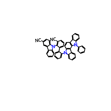 N#Cc1ccc2c(c1)c1ccccc1n2-c1c(C#N)cccc1-c1ccccc1-n1c2ccccc2c2c1ccc1c3ccccc3n(-c3ccccc3)c12